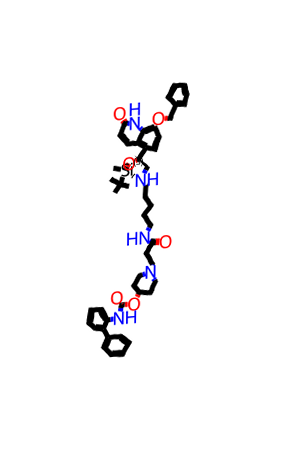 CC(C)(C)[Si](C)(C)O[C@H](CNCCCCCNC(=O)CCN1CCC(OC(=O)Nc2ccccc2-c2ccccc2)CC1)c1ccc(OCc2ccccc2)c2[nH]c(=O)ccc12